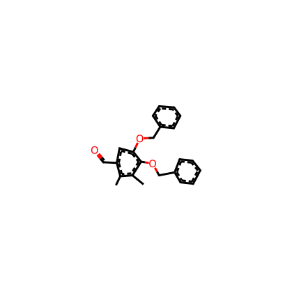 Cc1c(C=O)cc(OCc2ccccc2)c(OCc2ccccc2)c1C